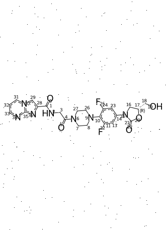 O=C(NCC(=O)N1CCN(c2c(F)cc(N3C[C@H](CO)OC3=O)cc2F)CC1)c1cn2cccnc2n1